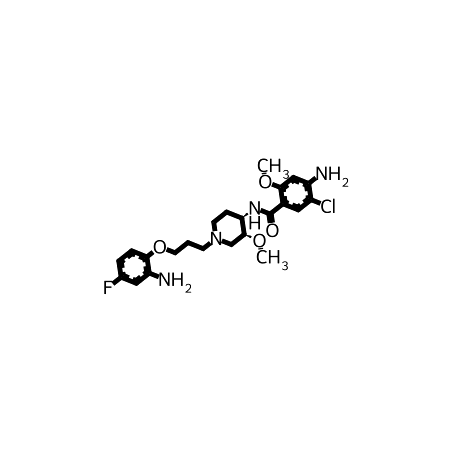 COc1cc(N)c(Cl)cc1C(=O)N[C@H]1CCN(CCCOc2ccc(F)cc2N)C[C@H]1OC